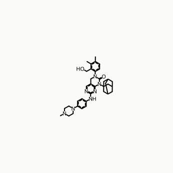 Cc1ccc(N2Cc3cnc(Nc4ccc(N5CCN(C)CC5)cc4)nc3N(C34CC5CC(CC(C5)C3)C4)C2=O)c(CO)c1C